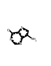 Nc1csc2c(Cl)ncnc12